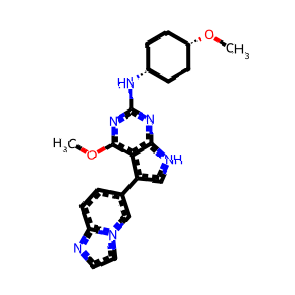 COc1nc(N[C@H]2CC[C@@H](OC)CC2)nc2[nH]cc(-c3ccc4nccn4c3)c12